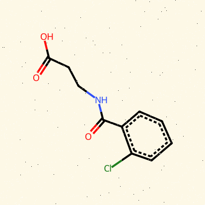 O=C(O)CCNC(=O)c1ccccc1Cl